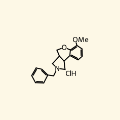 COc1cccc2c1OCC1CN(Cc3ccccc3)CC21.Cl